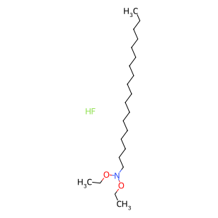 CCCCCCCCCCCCCCCCCCN(OCC)OCC.F